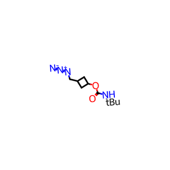 CC(C)(C)NC(=O)OC1CC(CN=[N+]=[N-])C1